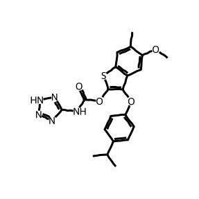 COc1cc2c(Oc3ccc(C(C)C)cc3)c(OC(=O)Nc3nn[nH]n3)sc2cc1C